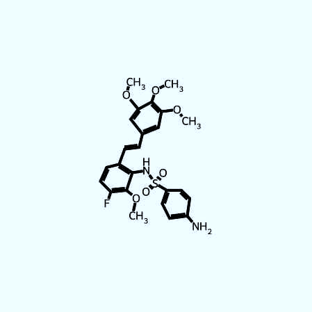 COc1cc(C=Cc2ccc(F)c(OC)c2NS(=O)(=O)c2ccc(N)cc2)cc(OC)c1OC